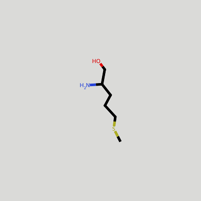 CSCCCC(N)CO